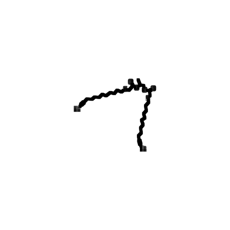 CCC#CCCCCCCCCCCSCC(=O)OCC(C)OC(=O)CSCCCCCCCCCCC#CCC